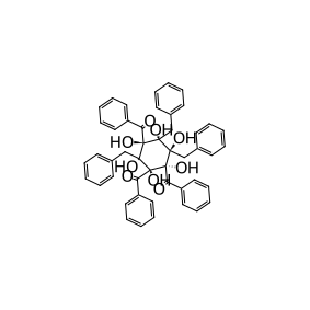 O=C(c1ccccc1)[C@@]1(O)[C@](O)(Cc2ccccc2)[C@@](O)(C(=O)c2ccccc2)[C@](O)(C(=O)c2ccccc2)[C@@](O)(Cc2ccccc2)[C@@]1(O)Cc1ccccc1